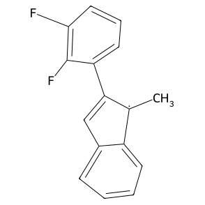 C[C]1C(c2cccc(F)c2F)=Cc2ccccc21